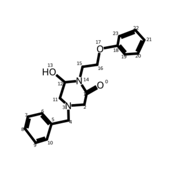 O=C1CN(Cc2ccccc2)CC(O)N1CCOc1ccccc1